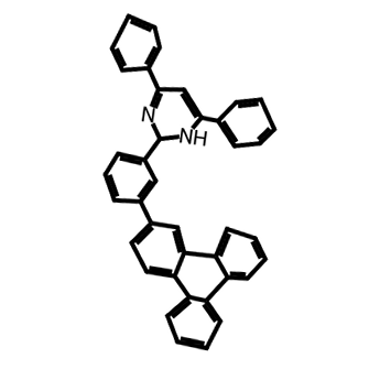 C1=C(c2ccccc2)NC(c2cccc(-c3ccc4c5ccccc5c5ccccc5c4c3)c2)N=C1c1ccccc1